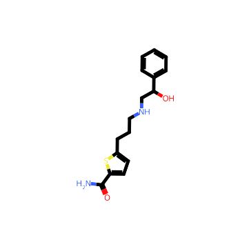 NC(=O)c1ccc(CCCNCC(O)c2ccccc2)s1